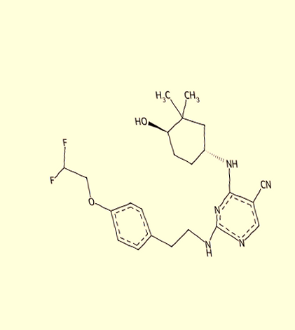 CC1(C)C[C@H](Nc2nc(NCCc3ccc(OCC(F)F)cc3)ncc2C#N)CC[C@H]1O